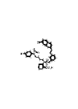 O=C(O)c1ccccc1N(CCCCN(c1ccc(Br)cc1)[SH](=O)=O)S(=O)(=O)Cc1cccc(CCc2ccc3ccc(Cl)cc3n2)c1